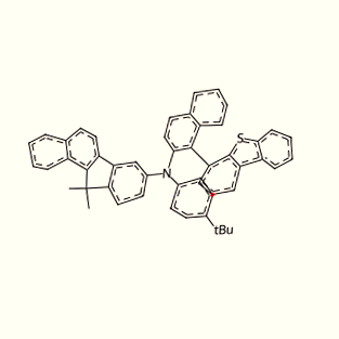 CC(C)(C)c1ccc(N(c2ccc3c(c2)-c2ccc4ccccc4c2C3(C)C)c2ccc3ccccc3c2-c2cccc3c2sc2ccccc23)cc1